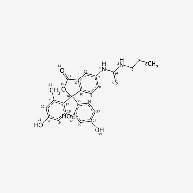 CCCNC(=S)Nc1ccc2c(c1)C(=O)OC2(c1ccc(O)cc1C)c1ccc(O)cc1O